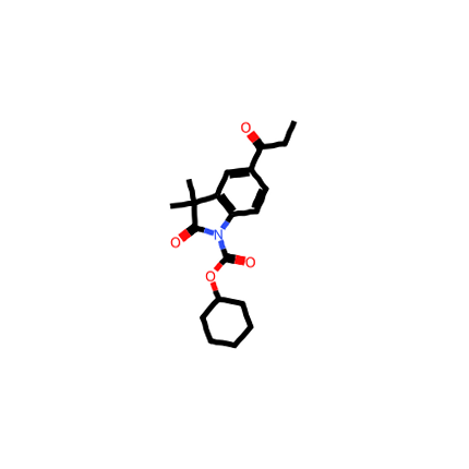 CCC(=O)c1ccc2c(c1)C(C)(C)C(=O)N2C(=O)OC1CCCCC1